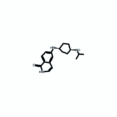 CC(C)N[C@H]1CC[C@@H](Nc2ccc3c(=O)[nH]ccc3c2)CC1